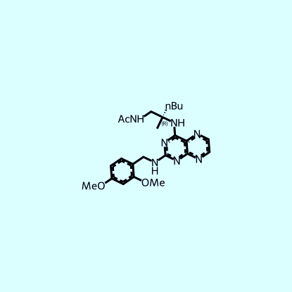 CCCC[C@](C)(CNC(C)=O)Nc1nc(NCc2ccc(OC)cc2OC)nc2nccnc12